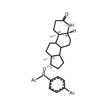 CC(=O)c1ccc(N(O[C@H]2CCC3C4CC[C@H]5NC(=O)CC[C@]5(C)C4CC[C@@]32C)C(C)=O)cc1